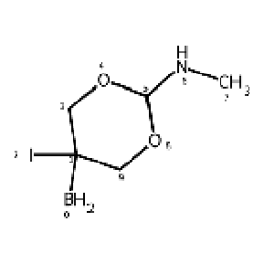 BC1(I)COC(NC)OC1